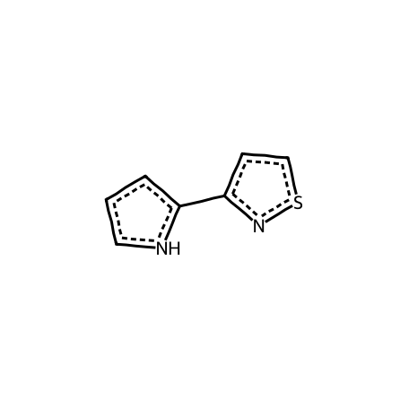 c1c[nH]c(-c2ccsn2)c1